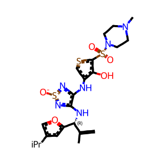 C=C(C)[C@@H](Nc1n[s+]([O-])nc1Nc1csc(S(=O)(=O)N2CCN(C)CC2)c1O)c1cc(C(C)C)co1